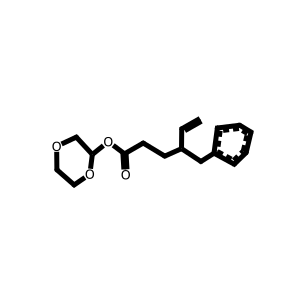 C=CC(CCC(=O)OC1COCCO1)Cc1ccccc1